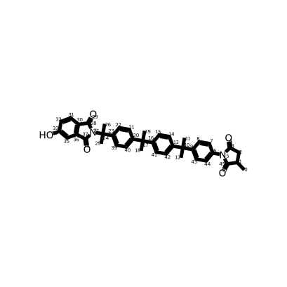 CC1CC(=O)N(c2ccc(C(C)(C)c3ccc(C(C)(C)c4ccc(C(C)(C)N5C(=O)c6ccc(O)cc6C5=O)cc4)cc3)cc2)C1=O